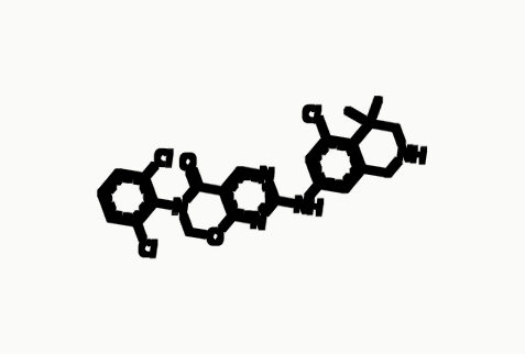 CC1(C)CNCc2cc(Nc3ncc4c(n3)OCN(c3c(Cl)cccc3Cl)C4=O)cc(Cl)c21